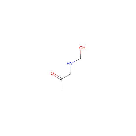 CC(=O)CNCO